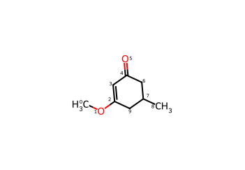 COC1=CC(=O)CC(C)C1